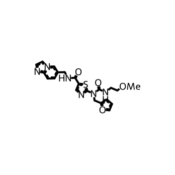 COCCNC(=O)N(Cc1ccco1)c1ncc(C(=O)NCc2ccc3nccn3c2)s1